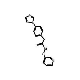 O=C(Cc1ccc(-n2ccnc2)cc1)NOc1cccnc1